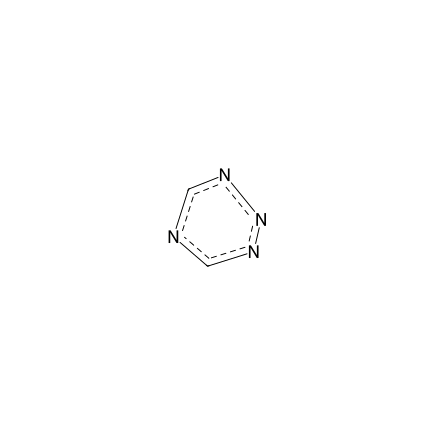 c1ncnnn1